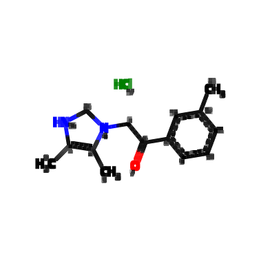 CC1=C(C)N(CC(=O)c2cccc(C)c2)CN1.Cl